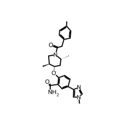 Cc1ccc(CC(=O)N2C[C@H](C)[C@@H](Oc3ccc(-c4cn(C)cn4)cc3C(N)=O)C[C@H]2C)cc1